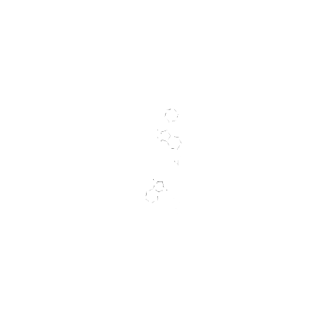 Cc1ccccc1-c1nn(C)c2cc(CN3CCC(c4nc5ccccc5n4CC4CC(O)C4)CC3)ccc12